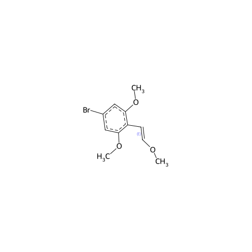 CO/C=C/c1c(OC)cc(Br)cc1OC